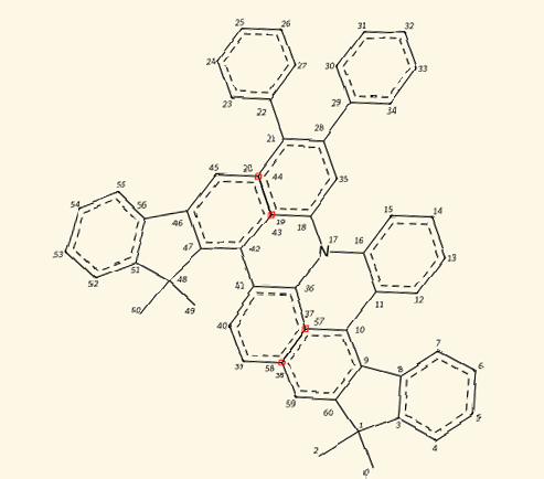 CC1(C)c2ccccc2-c2c(-c3ccccc3N(c3ccc(-c4ccccc4)c(-c4ccccc4)c3)c3ccccc3-c3cccc4c3C(C)(C)c3ccccc3-4)cccc21